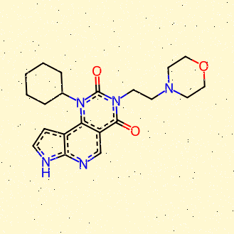 O=c1c2cnc3[nH]ccc3c2n(C2CCCCC2)c(=O)n1CCN1CCOCC1